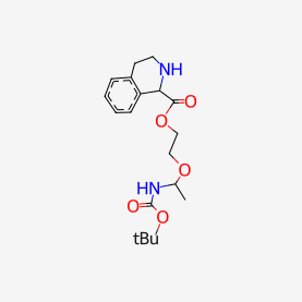 CC(NC(=O)OC(C)(C)C)OCCOC(=O)C1NCCc2ccccc21